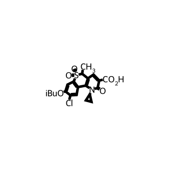 CC(C)COc1cc2c(cc1Cl)-c1c(cc(C(=O)O)c(=O)n1C1CC1)C(C)S2(=O)=O